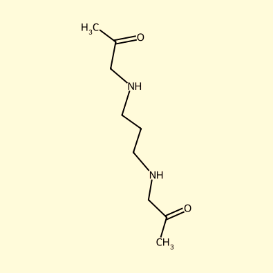 CC(=O)CNCCCNCC(C)=O